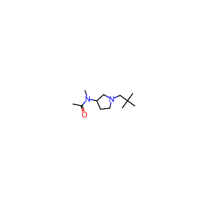 CC(=O)N(C)C1CCN(CC(C)(C)C)C1